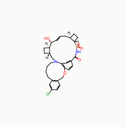 O=C1NS(=O)(=O)[C@H]2CC[C@@H]2C/C=C/[C@H](O)[C@@H]2CC[C@H]2CN2CCCCc3cc(Cl)ccc3COc3ccc1cc32